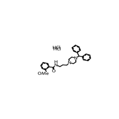 COc1ccccc1C(=O)NCCCN1CCN(C(c2ccccc2)c2ccccc2)CC1.Cl.Cl